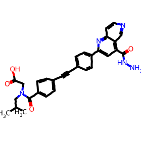 CC(C)CN(CC(=O)O)C(=O)c1ccc(C#Cc2ccc(-c3cc(C(=O)NN)c4cnccc4n3)cc2)cc1